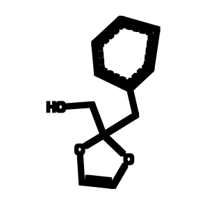 OCC1(Cc2ccccc2)OC=CO1